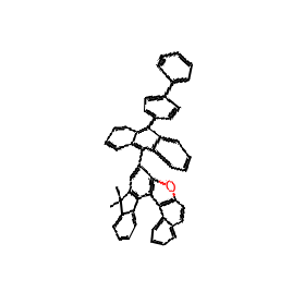 CC1(C)c2ccccc2-c2c1cc(-c1c3ccccc3c(-c3ccc(-c4ccccc4)cc3)c3ccccc13)c1oc3ccc4ccccc4c3c21